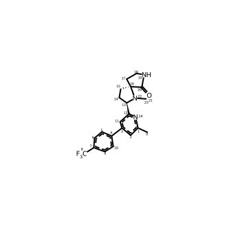 Cc1cc(-c2ccc(C(F)(F)F)cc2)cc([C@H]2CC[C@@]3(CCNC3=O)N2C)n1